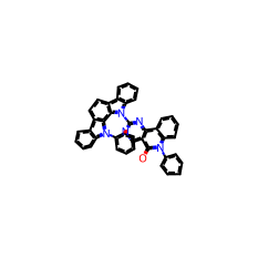 O=c1c2cnc(-n3c4ccccc4c4ccc5c6ccccc6n(-c6ccccc6)c5c43)nc2c2ccccc2n1-c1ccccc1